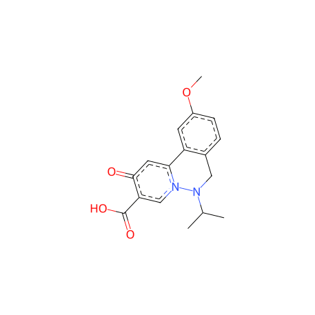 COc1ccc2c(c1)-c1cc(=O)c(C(=O)O)cn1N(C(C)C)C2